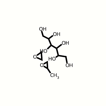 C1CO1.CC1CO1.OCC(O)C(O)C(O)C(O)CO